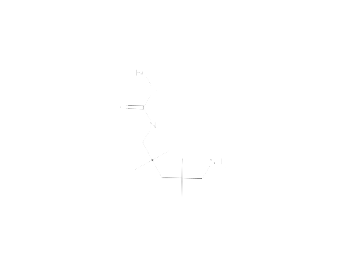 CC(C)(CN)CC(C)(C)CNC(=O)OC(C)(C)C